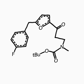 CN(CCC(=O)c1ccc(Cc2ccc(F)cc2)o1)C(=O)OC(C)(C)C